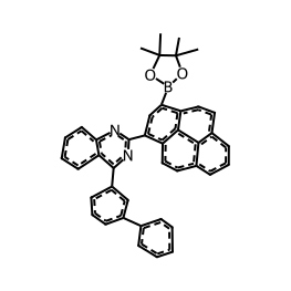 CC1(C)OB(c2cc(-c3nc(-c4cccc(-c5ccccc5)c4)c4ccccc4n3)c3ccc4cccc5ccc2c3c54)OC1(C)C